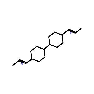 C/C=C/C1CCC(C2CCC(/C=C/C)CC2)CC1